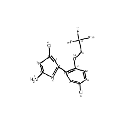 Nc1nc(Cl)cc(-c2cc(Cl)ccc2OCC(F)(F)F)n1